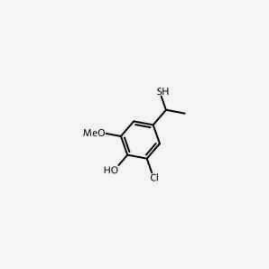 COc1cc(C(C)S)cc(Cl)c1O